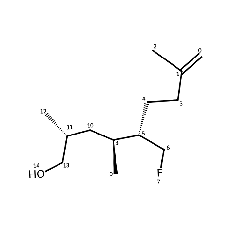 C=C(C)CC[C@H](CF)[C@@H](C)C[C@@H](C)CO